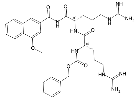 COc1cc(C(=O)NC(=O)[C@H](CCCNC(=N)N)NC(=O)[C@H](CCCNC(=N)N)NC(=O)OCc2ccccc2)cc2ccccc12